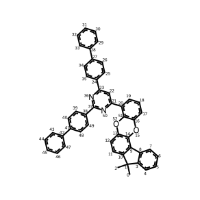 CC1(C)c2ccccc2-c2c1ccc1c2Oc2cccc(-c3cc(-c4ccc(-c5ccccc5)cc4)nc(-c4ccc(-c5ccccc5)cc4)n3)c2O1